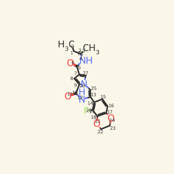 CC[C@@H](C)NC(=O)c1cc2c(=O)[nH]c(-c3ccc4c(c3F)OCCO4)cn2c1